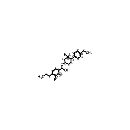 CCCc1ccc(C(O)OC2CCC(c3ccc(CC)cc3)C(F)(F)C2)c(F)c1F